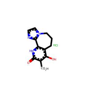 Cl.O=C(O)c1c(O)c2c([nH]c1=O)-c1nccn1CCC2